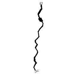 CCC=CC#CCCCCCCCCCCOC(C)=O